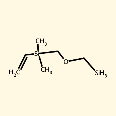 C=C[Si](C)(C)COC[SiH3]